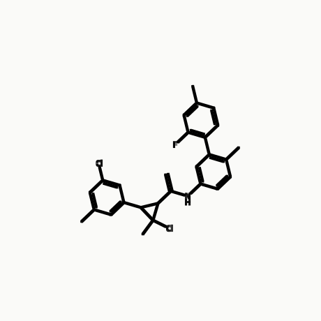 C=C(Nc1ccc(C)c(-c2ccc(C)cc2F)c1)C1C(c2cc(C)cc(Cl)c2)C1(C)Cl